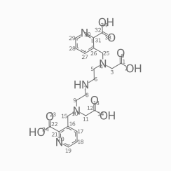 O=C(O)CN(CCNCCN(CC(=O)O)Cc1cccnc1C(=O)O)Cc1cccnc1C(=O)O